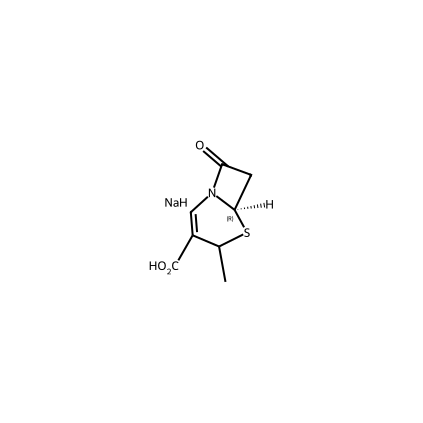 CC1S[C@@H]2CC(=O)N2C=C1C(=O)O.[NaH]